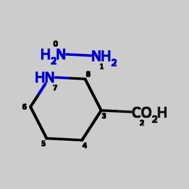 NN.O=C(O)C1CCCNC1